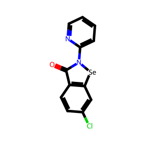 O=c1c2ccc(Cl)cc2[se]n1-c1ccccn1